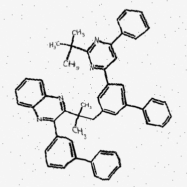 CC(C)(C)c1nc(-c2ccccc2)cc(-c2cc(CC(C)(C)c3nc4ccccc4nc3-c3cccc(-c4ccccc4)c3)cc(-c3ccccc3)c2)n1